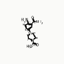 NC(=O)c1cc(N2CCN(C(=O)O)CC2)ccc1N